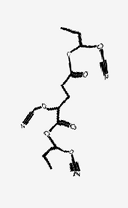 CCC(OC#N)OC(=O)CCC(OC#N)C(=O)OC(CC)OC#N